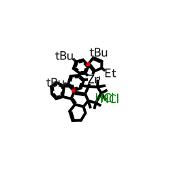 Cl.Cl.[CH2]=[Zr]([C]1=CC(C(C)(C)C)=CC1CC)([c]1ccc(C(C)(C)C)cc1)([c]1ccc(C(C)(C)C)cc1)[C]1(C)C2=C3Cc4ccccc4C3=C3C=CCCC3C2(C)C(C)(C)C(C)(C)C1(C)C